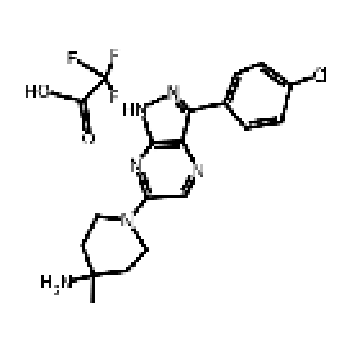 CC1(N)CCN(c2cnc3c(-c4ccc(Cl)cc4)n[nH]c3n2)CC1.O=C(O)C(F)(F)F